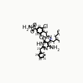 CCCC(C)C/C(=N/CCc1c(Cl)cc(S(N)(=O)=O)cc1Cl)c1c(N)nc(Cc2cccs2)[nH]c1=O